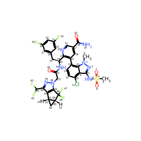 Cn1nc(NS(C)(=O)=O)c2c(Cl)ccc(-c3cc(C(N)=O)cnc3[C@H](Cc3cc(F)cc(F)c3)NC(=O)Cn3nc(C(F)F)c4c3C(F)(F)[C@@H]3C[C@H]43)c21